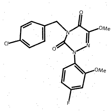 COc1cc(F)ccc1-n1nc(OC)c(=O)n(Cc2ccc(Cl)cc2)c1=O